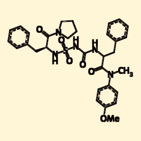 COc1ccc(N(C)C(=O)C(Cc2ccccc2)NC(=O)NS(=O)(=O)N[C@@H](Cc2ccccc2)C(=O)N2CCCC2)cc1